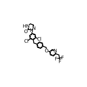 O=C1NCC=NN1c1cc(Cl)c(Cc2ccc(COc3ccc(CC(F)(F)F)nc3)cc2)c(Cl)c1